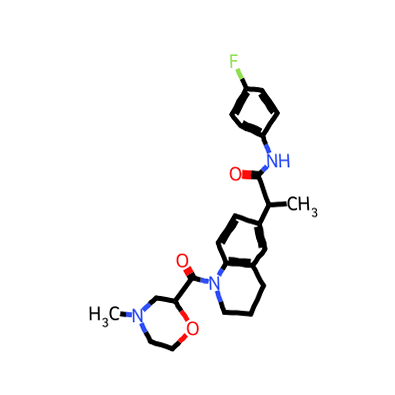 CC(C(=O)Nc1ccc(F)cc1)c1ccc2c(c1)CCCN2C(=O)C1CN(C)CCO1